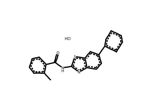 Cc1ccccc1C(=O)Nc1nc2ccc(-c3ccccc3)cc2s1.Cl